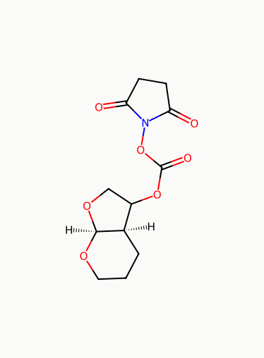 O=C(OC1CO[C@@H]2OCCC[C@H]12)ON1C(=O)CCC1=O